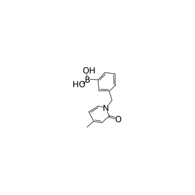 Cc1ccn(Cc2cccc(B(O)O)c2)c(=O)c1